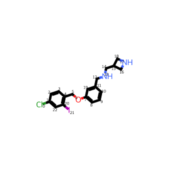 Clc1ccc(COc2cccc(CNCC3CNC3)c2)c(I)c1